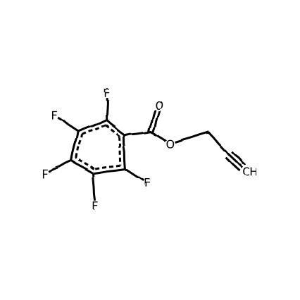 C#CCOC(=O)c1c(F)c(F)c(F)c(F)c1F